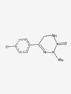 CC(C)(C)N1N=C(c2ccc(Cl)cc2)CNC1=O